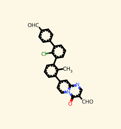 Cc1c(-c2ccn3c(=O)c(C=O)cnc3c2)cccc1-c1cccc(-c2ccc(C=O)cc2)c1Cl